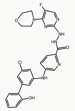 O=C(NNc1ncc(F)c(N2CCOCC2)n1)c1ccc(Nc2cc(Cl)cc(-c3ccccc3O)c2)cn1